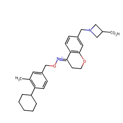 Cc1cc(CO/N=C2\CCOc3cc(CN4CC(C(=O)O)C4)ccc32)ccc1C1CCCCC1